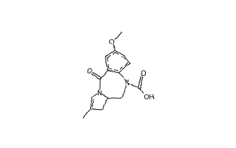 COc1ccc2c(c1)C(=O)N1C=C(C)CC1CN2C(=O)O